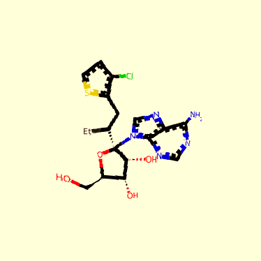 CCC(Cc1sccc1Cl)[C@@]1(n2cnc3c(N)ncnc32)O[C@H](CO)[C@@H](O)[C@H]1O